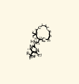 CC1(C)CCCCCCCCCC(CNc2ncc(C(F)(F)F)c(Cl)n2)C1